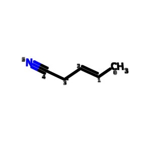 C/C=C/[CH]C#N